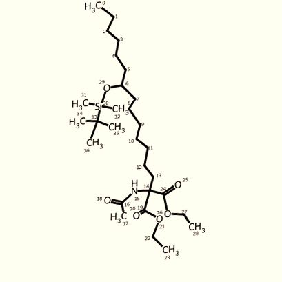 CCCCCCC(CCCCCCCC(NC(C)=O)(C(=O)OCC)C(=O)OCC)O[Si](C)(C)C(C)(C)C